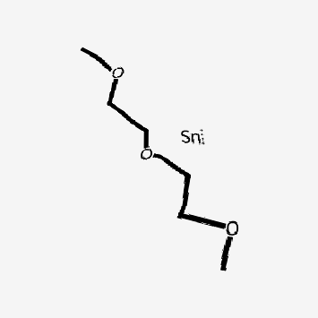 COCCOCCOC.[Sn]